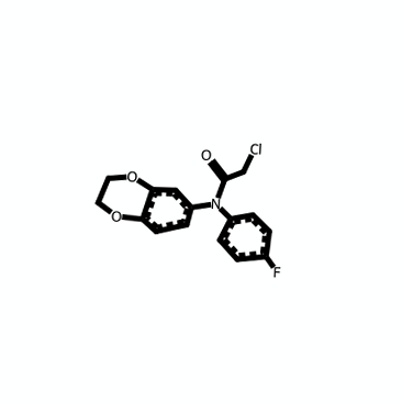 O=C(CCl)N(c1ccc(F)cc1)c1ccc2c(c1)OCCO2